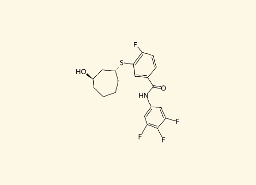 O=C(Nc1cc(F)c(F)c(F)c1)c1ccc(F)c(S[C@@H]2CCCC[C@@H](O)C2)c1